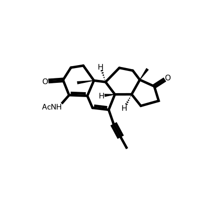 CC#CC1=CC2=C(NC(C)=O)C(=O)CC[C@]2(C)[C@H]2CC[C@]3(C)C(=O)CC[C@H]3[C@H]12